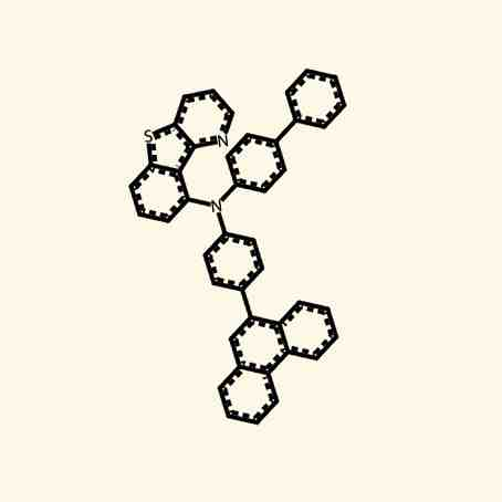 c1ccc(-c2ccc(N(c3ccc(-c4cc5ccccc5c5ccccc45)cc3)c3cccc4sc5cccnc5c34)cc2)cc1